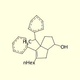 CCCCCCC1=C(c2ccccc2)C2(C(C)c3ccccc3)CCC(O)C2C1